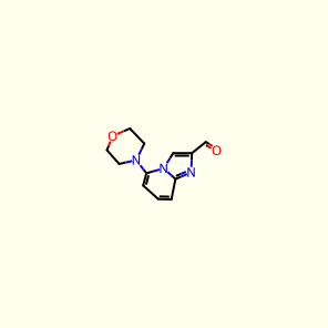 O=Cc1cn2c(N3CCOCC3)cccc2n1